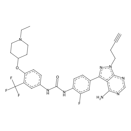 C#CCCn1nc(-c2ccc(NC(=O)Nc3ccc(OC4CCN(CC)CC4)c(C(F)(F)F)c3)c(F)c2)c2c(N)ncnc21